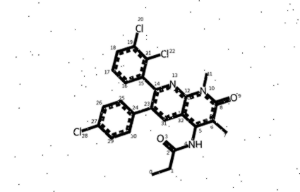 CCC(=O)Nc1c(C)c(=O)n(C)c2nc(-c3cccc(Cl)c3Cl)c(-c3ccc(Cl)cc3)cc12